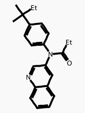 CCC(=O)N(c1ccc(C(C)(C)CC)cc1)c1cnc2ccccc2c1